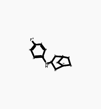 Fc1ccc(NC2CC3CCC(C3)C2)cc1